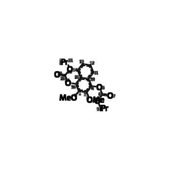 COc1c(OC)c(OC(=O)OC(C)C)c2ccccc2c1OC(=O)OC(C)C